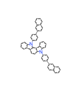 c1ccc2cc(-c3ccc(-n4c5ccccc5c5c4ccc4c6ccccc6n(-c6ccc(-c7ccc8ccccc8c7)cc6)c45)cc3)ccc2c1